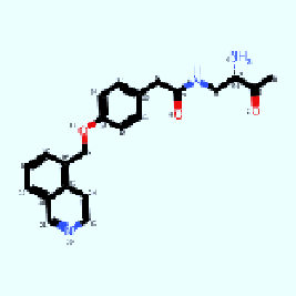 CC(=O)[C@@H](N)CNC(=O)Cc1ccc(OCc2cccc3cnccc23)cc1